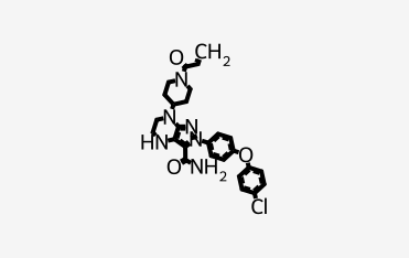 C=CC(=O)N1CCC(N2CCNc3c2nn(-c2ccc(Oc4ccc(Cl)cc4)cc2)c3C(N)=O)CC1